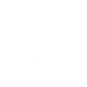 COc1cc(OC(=O)C(C)C)on1